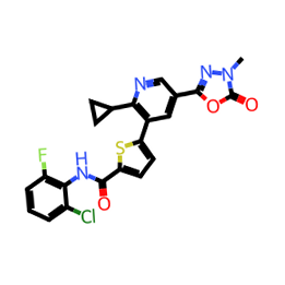 Cn1nc(-c2cnc(C3CC3)c(-c3ccc(C(=O)Nc4c(F)cccc4Cl)s3)c2)oc1=O